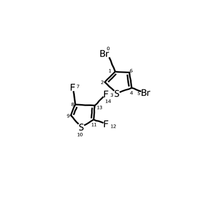 Brc1csc(Br)c1.Fc1csc(F)c1F